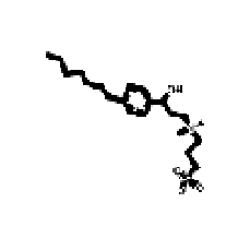 CCCCCCCc1ccc(C(O)CC[N+](C)(C)CCCS(=O)(=O)[O-])cc1